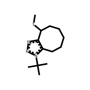 CSC1CCCCCc2c1nnn2C(C)(C)C